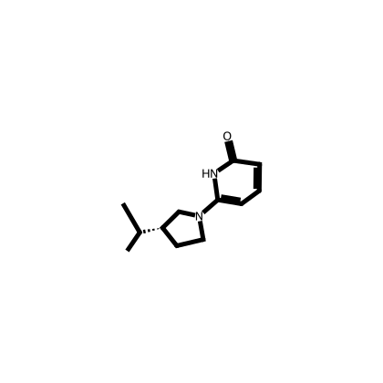 CC(C)[C@H]1CCN(c2cccc(=O)[nH]2)C1